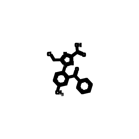 Cc1ccc(-n2nc(C(=O)O)nc2CCl)c(C(=O)c2ccccc2)c1